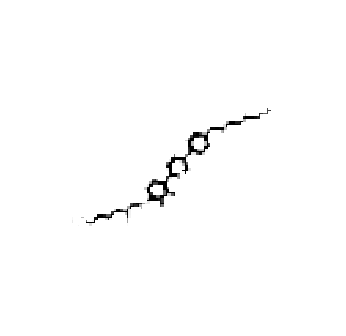 CCCCCCCc1ccc(-c2ccc(-c3ccc(OCC(F)CCCCC)c(F)c3F)nc2)cc1